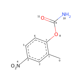 Cc1cc([N+](=O)[O-])ccc1OC(N)=O